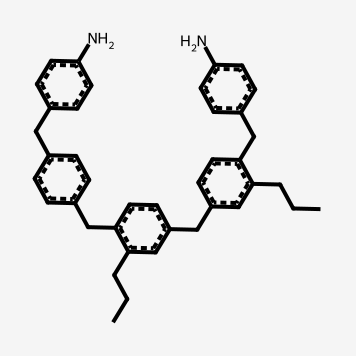 CCCc1cc(Cc2ccc(Cc3ccc(Cc4ccc(N)cc4)cc3)c(CCC)c2)ccc1Cc1ccc(N)cc1